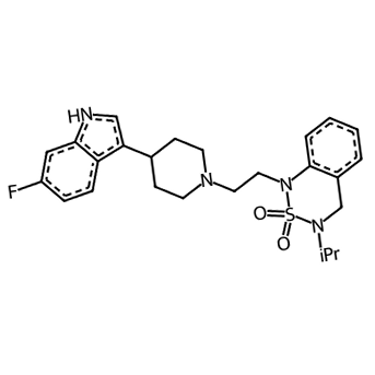 CC(C)N1Cc2ccccc2N(CCN2CCC(c3c[nH]c4cc(F)ccc34)CC2)S1(=O)=O